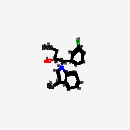 CNC[C@@H](O)[C@H](c1cccc(F)c1)n1cc(C(C)(C)C)c2ccccc21